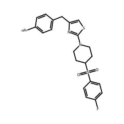 CCCc1ccc(Cc2csc(N3CCC(S(=O)(=O)c4ccc(F)cc4)CC3)n2)cc1